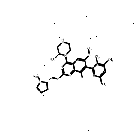 Cc1cc(N)nc(-c2c(SC(F)(F)F)cc3c(N4CCNC[C@@H]4C)nc(OC[C@@H]4CCCN4C)nc3c2F)c1C(F)(F)F